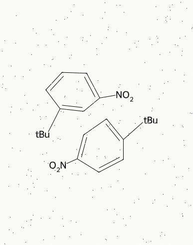 CC(C)(C)c1ccc([N+](=O)[O-])cc1.CC(C)(C)c1cccc([N+](=O)[O-])c1